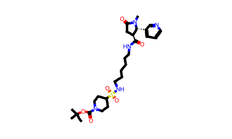 CN1C(=O)C[C@H](C(=O)NCCCCCCNS(=O)(=O)C2CCN(C(=O)OC(C)(C)C)CC2)[C@H]1c1cccnc1